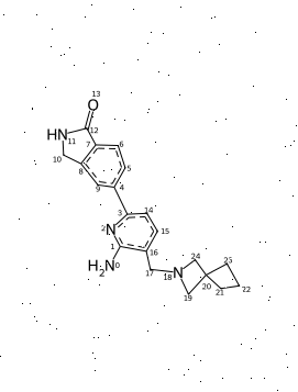 Nc1nc(-c2ccc3c(c2)CNC3=O)ccc1CN1CC2(CCC2)C1